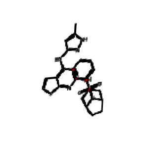 Cc1cc(Nc2nc(NC3CC4CCC(C3)N4S(=O)(=O)c3ccccn3)nc3sccc23)n[nH]1